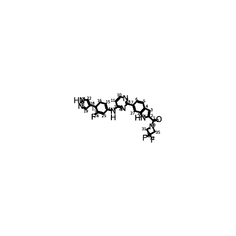 O=C(c1cc2ccc(-c3nccc(NC4=CCC(c5cn[nH]c5)C(F)=C4)n3)cc2[nH]1)N1CC(F)(F)C1